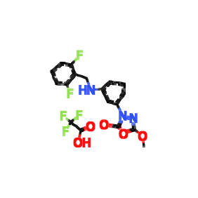 COc1nn(-c2cccc(NCc3c(F)cccc3F)c2)c(=O)o1.O=C(O)C(F)(F)F